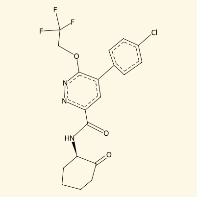 O=C(N[C@@H]1CCCCC1=O)c1cc(-c2ccc(Cl)cc2)c(OCC(F)(F)F)nn1